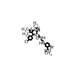 COC(=O)c1cc(NCCNC(=O)C[C@@H]2N=C(c3ccc(Cl)cc3)c3c(sc(C)c3C)-n3c(C)nnc32)ccc1Br